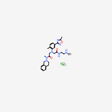 Cc1nc(-c2ccc(C)c(N(CC(=O)NCCNC(C)C)CC(=O)N(C)N3CCc4ccccc4C3)c2)no1.Cl.Cl